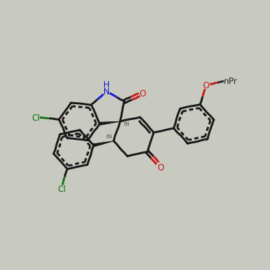 CCCOc1cccc(C2=C[C@@]3(C(=O)Nc4cc(Cl)ccc43)[C@H](c3cccc(Cl)c3)CC2=O)c1